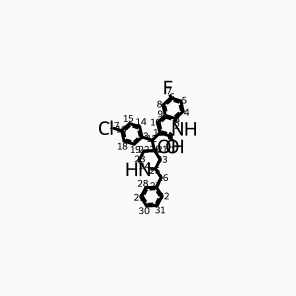 O=c1[nH]c2ccc(F)cc2cc1C(c1ccc(Cl)cc1)C1(O)CCNC(Cc2ccccc2)C1